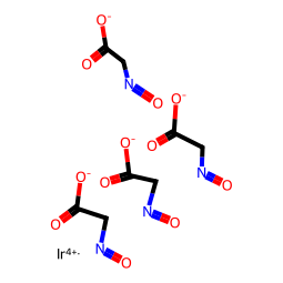 O=NCC(=O)[O-].O=NCC(=O)[O-].O=NCC(=O)[O-].O=NCC(=O)[O-].[Ir+4]